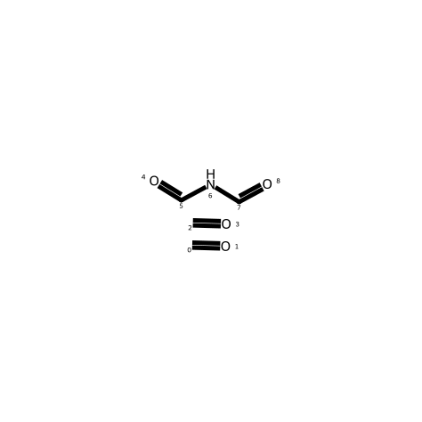 C=O.C=O.O=CNC=O